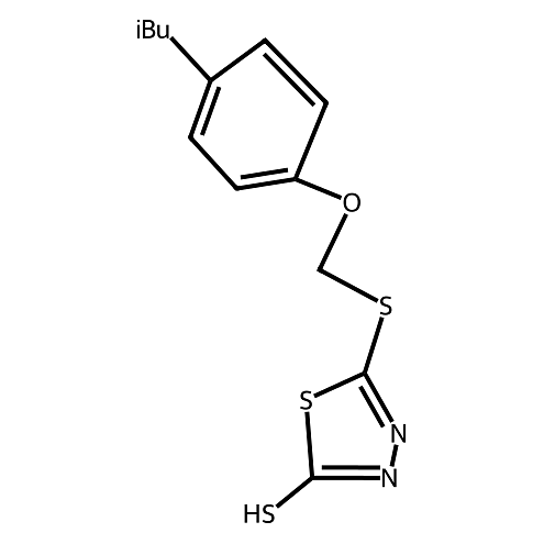 CCC(C)c1ccc(OCSc2nnc(S)s2)cc1